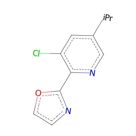 CC(C)c1cnc(-c2ncco2)c(Cl)c1